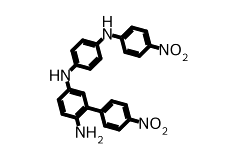 Nc1ccc(Nc2ccc(Nc3ccc([N+](=O)[O-])cc3)cc2)cc1-c1ccc([N+](=O)[O-])cc1